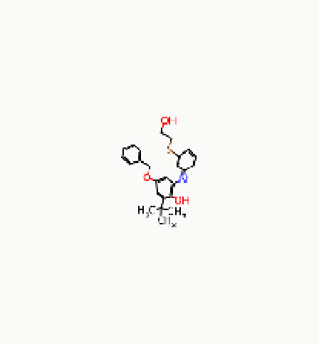 CC(C)(C)c1cc(OCc2ccccc2)cc(/N=C2\C=C(SCCO)C=CC2)c1O